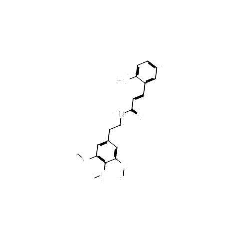 COc1cc(CCNC(=O)/C=C/c2ccccc2O)cc(OC)c1OC